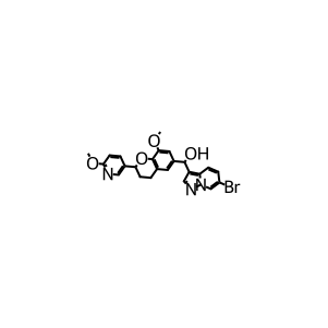 COc1ccc(C2CCc3cc(C(O)c4cnn5cc(Br)ccc45)cc(OC)c3O2)cn1